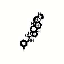 O=C(Nc1cccc(F)c1)[C@@H]1CC[C@H]2[C@@H]3CCC4[C@H](C=Cc5nccn54)[C@H]3CC[C@@H]21